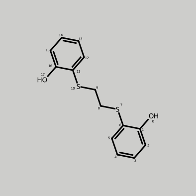 Oc1ccccc1SCCSc1ccccc1O